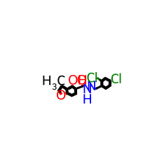 Cc1coc2ccc(C(=O)N/N=C/c3ccc(Cl)cc3Cl)c(O)c12